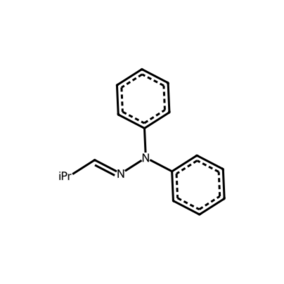 CC(C)C=NN(c1ccccc1)c1ccccc1